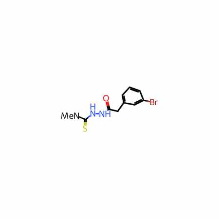 CNC(=S)NNC(=O)Cc1cccc(Br)c1